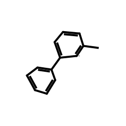 Cc1[c]c(-c2ccccc2)ccc1